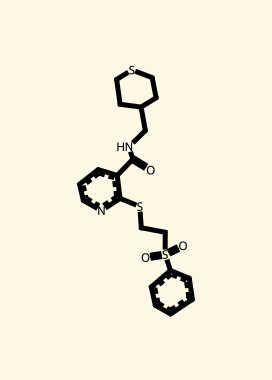 O=C(NCC1CCSCC1)c1cccnc1SCCS(=O)(=O)c1ccccc1